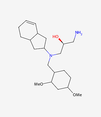 COC1CCC(CN(C[C@@H](O)CN)C2CC3C=CCCC3C2)C(OC)C1